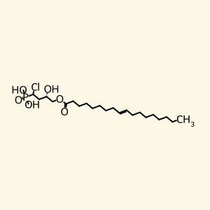 CCCCCCCCC=CCCCCCCCC(=O)OC[C@@H](O)CC(Cl)P(=O)(O)O